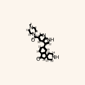 CN1CCN(C(=O)c2cnc3[nH]cc(-c4ccc5c(c4)C4(CCNCC4)CC5=O)c3c2)CC1